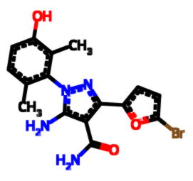 Cc1ccc(O)c(C)c1-n1nc(-c2ccc(Br)o2)c(C(N)=O)c1N